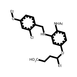 CCOc1ccc(CNc2cc(OC(CC)CCC(=O)O)ccc2NC(C)=O)c(Cl)c1